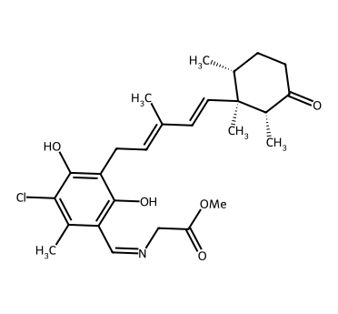 COC(=O)C/N=C\c1c(C)c(Cl)c(O)c(C/C=C(C)/C=C/[C@@]2(C)[C@H](C)CCC(=O)[C@@H]2C)c1O